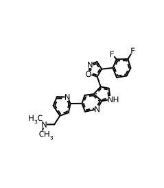 CN(C)Cc1ccnc(-c2cnc3[nH]cc(-c4oncc4-c4cccc(F)c4F)c3c2)c1